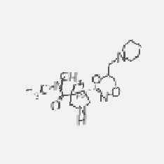 CN(C)C(=O)C12CC[C@@]1(C1=NOCC(CN3CCCCC3)O1)CNC2